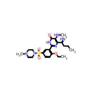 CCCC(=N)c1nc(-c2cc(S(=O)(=O)N3CCN(C)CC3)ccc2OCC)[nH]c(=O)c1NC